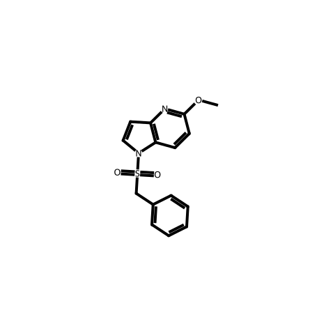 COc1ccc2c(ccn2S(=O)(=O)Cc2ccccc2)n1